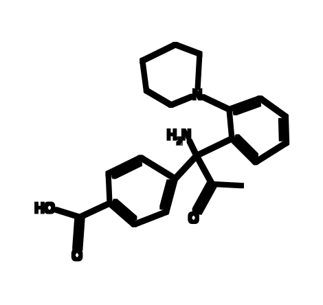 CC(=O)C(N)(c1ccc(C(=O)O)cc1)c1ccccc1N1CCCCC1